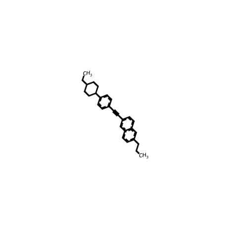 CCCc1ccc2cc(C#Cc3ccc(C4CCC(CC)CC4)cc3)ccc2c1